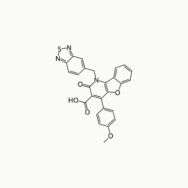 COc1ccc(-c2c(C(=O)O)c(=O)n(Cc3ccc4nsnc4c3)c3c2oc2ccccc23)cc1